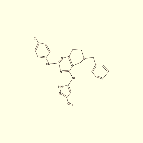 Cc1cc(Nc2nc(Nc3ccc(Cl)cc3)nc3c2CN(Cc2ccccc2)CC3)[nH]n1